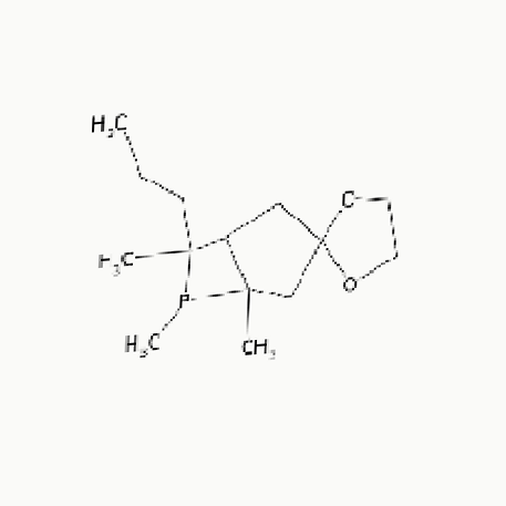 CCCC1(C)C2CC3(CC2(C)P1C)OCCO3